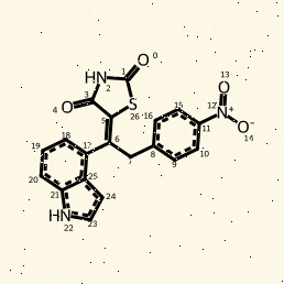 O=C1NC(=O)C(=C(Cc2ccc([N+](=O)[O-])cc2)c2cccc3[nH]ccc23)S1